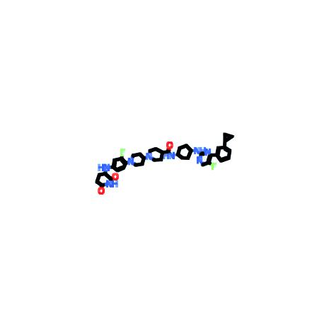 O=C1CCC(Nc2ccc(N3CCC(N4CCC(C(=O)N[C@H]5CC[C@H](Nc6ncc(F)c(-c7cccc(C8CC8)c7)n6)CC5)CC4)CC3)c(F)c2)C(=O)N1